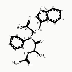 CC(=O)NC(C)C(=O)N(c1[c]cccc1)[C@@H](Cc1c[nH]c2ccccc12)C(=O)O